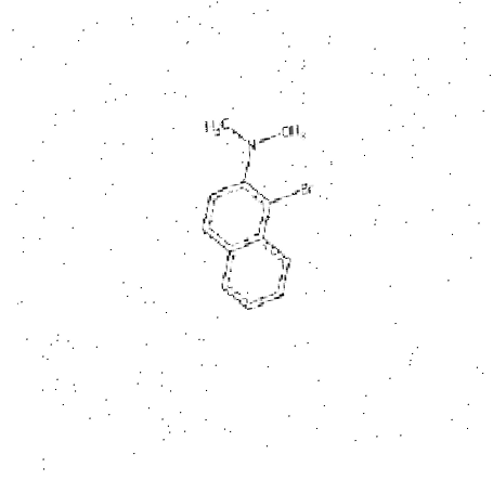 CN(C)c1ccc2ccccc2c1Br